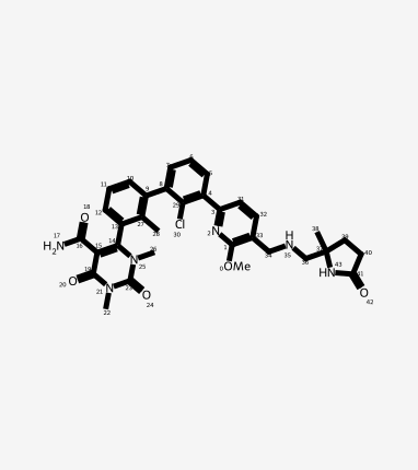 COc1nc(-c2cccc(-c3cccc(-c4c(C(N)=O)c(=O)n(C)c(=O)n4C)c3C)c2Cl)ccc1CNCC1(C)CCC(=O)N1